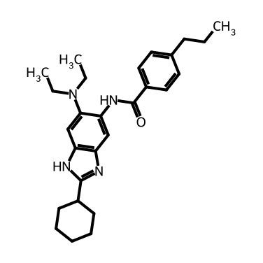 CCCc1ccc(C(=O)Nc2cc3nc(C4CCCCC4)[nH]c3cc2N(CC)CC)cc1